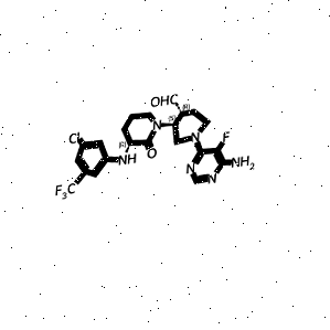 Nc1ncnc(N2CC[C@@H](C=O)[C@H](N3CCC[C@@H](Nc4cc(Cl)cc(C(F)(F)F)c4)C3=O)C2)c1F